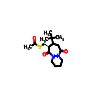 CC(=O)SC[C@H]1C(=O)N2CCCCN2C(=O)CC1C(C)(C)C